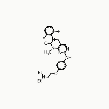 CCN(CC)CCOc1ccc(Nc2ncc3c(n2)N(C)C(=O)N(c2c(F)cccc2F)C3)cc1